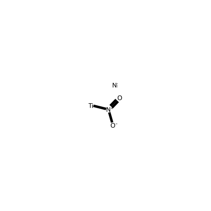 O=[N+]([O-])[Ti].[N]